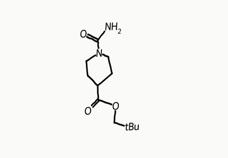 CC(C)(C)COC(=O)C1CCN(C(N)=O)CC1